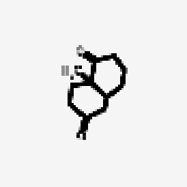 CC12CCC(=O)CC1CCCC2=O